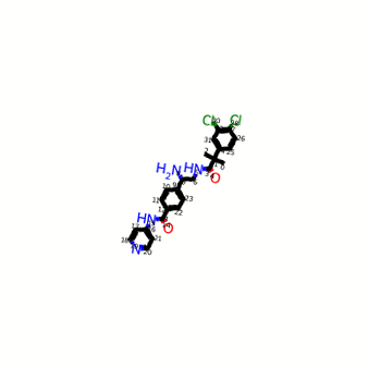 CC(C)(C(=O)NCC(N)c1ccc(C(=O)Nc2ccncc2)cc1)c1ccc(Cl)c(Cl)c1